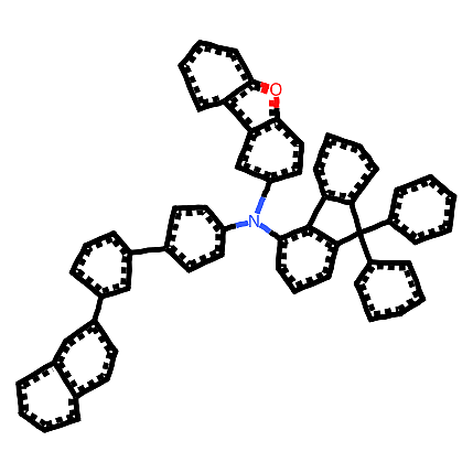 c1ccc(C2(c3ccccc3)c3ccccc3-c3c(N(c4ccc(-c5cccc(-c6ccc7ccccc7c6)c5)cc4)c4ccc5oc6ccccc6c5c4)cccc32)cc1